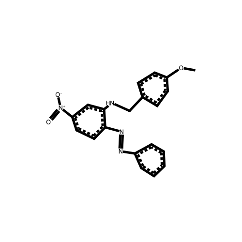 COc1ccc(CNc2cc([N+](=O)[O-])ccc2N=Nc2ccccc2)cc1